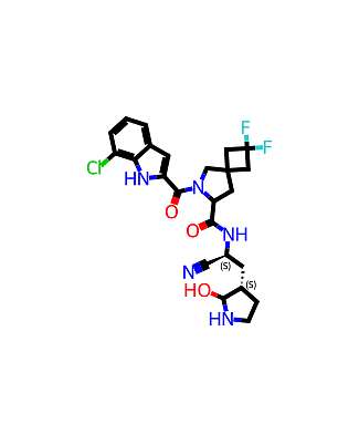 N#C[C@H](C[C@@H]1CCNC1O)NC(=O)C1CC2(CN1C(=O)c1cc3cccc(Cl)c3[nH]1)CC(F)(F)C2